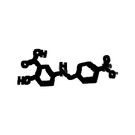 O=C(O)c1cc(NCc2ccc([N+](=O)[O-])cc2)ccc1O